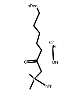 CC(C)O.CCCCCCCCCCCCCCCC(=O)C[N+](C)(C)CCC.[Cl-]